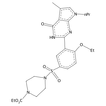 CCCn1cc(C)c2c(=O)[nH]c(-c3cc(S(=O)(=O)N4CCN(C(=O)OCC)CC4)ccc3OCC)nc21